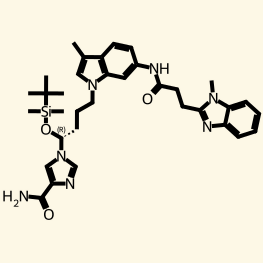 Cc1cn(CCC[C@@H](O[Si](C)(C)C(C)(C)C)n2cnc(C(N)=O)c2)c2cc(NC(=O)CCc3nc4ccccc4n3C)ccc12